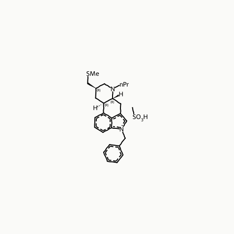 CCCN1C[C@H](CSC)C[C@@H]2c3cccc4c3c(cn4Cc3ccccc3)C[C@H]21.CS(=O)(=O)O